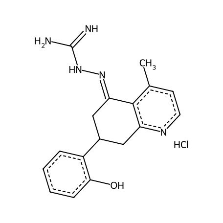 Cc1ccnc2c1C(=NNC(=N)N)CC(c1ccccc1O)C2.Cl